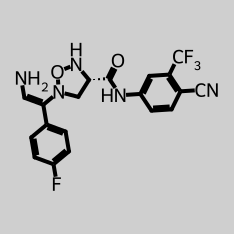 N#Cc1ccc(NC(=O)[C@@H]2CN(/C(=C\N)c3ccc(F)cc3)ON2)cc1C(F)(F)F